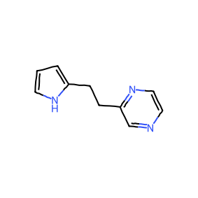 c1c[nH]c(CCc2cnccn2)c1